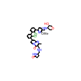 COc1nc(-c2cccc(-c3cccc(-c4ccn5c(=O)c(CNCC6CCC(=O)N6)c(C)nc5c4)c3Cl)c2Cl)ccc1CN[C@@H]1CCOC[C@H]1O